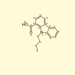 CCCCn1c2ccccc2c2cccc(C(=O)O)c21